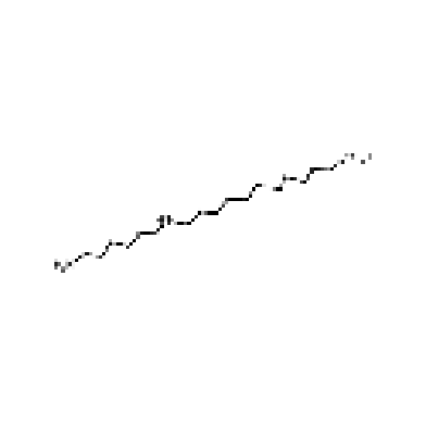 NCCCCCCNCCCCCCCCCCCC(=O)O